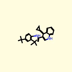 C=C(Nc1ccc(C(C)(C)C)cc1C(C)(C)C)C1=CNc2ccccc2C1=C1CC1